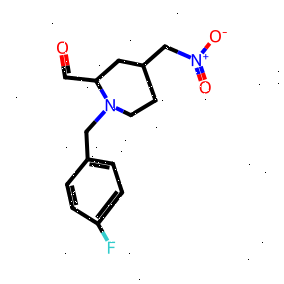 O=CC1CC(C[N+](=O)[O-])CCN1Cc1ccc(F)cc1